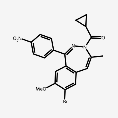 COc1cc2c(cc1Br)C=C(C)N(C(=O)C1CC1)N=C2c1ccc([N+](=O)[O-])cc1